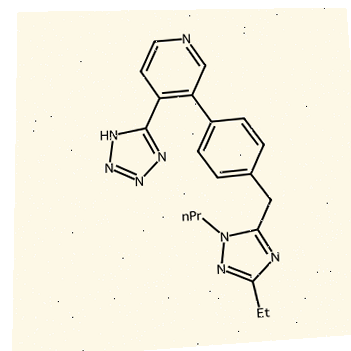 CCCn1nc(CC)nc1Cc1ccc(-c2cnccc2-c2nnn[nH]2)cc1